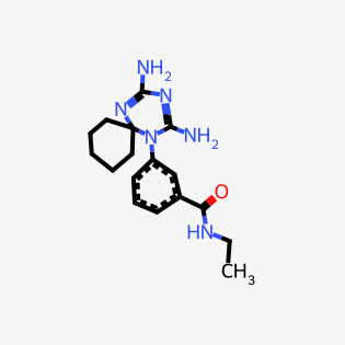 CCNC(=O)c1cccc(N2C(N)=NC(N)=NC23CCCCC3)c1